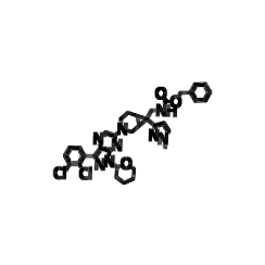 Cn1ccc(C2(CNC(=O)OCc3ccccc3)C3CCN(c4cnc5c(-c6cccc(Cl)c6Cl)nn(C6CCCCO6)c5n4)CC32)n1